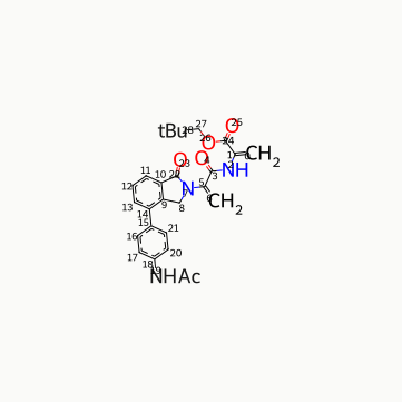 C=C(NC(=O)C(=C)N1Cc2c(cccc2-c2ccc(NC(C)=O)cc2)C1=O)C(=O)OCC(C)(C)C